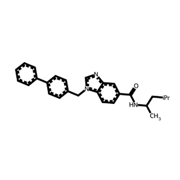 CC(C)CC(C)NC(=O)c1ccc2c(c1)ncn2Cc1ccc(-c2ccccc2)cc1